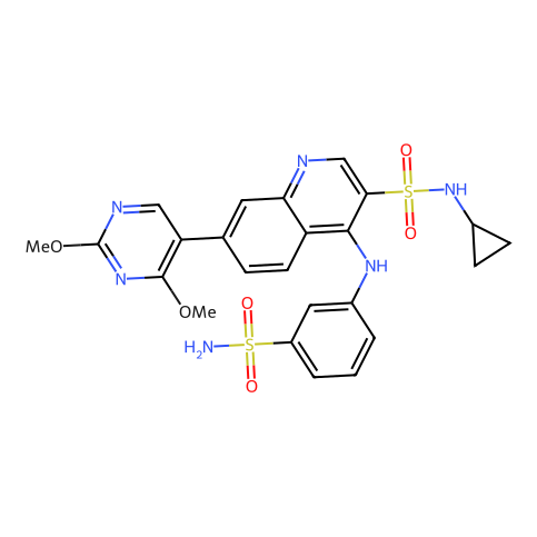 COc1ncc(-c2ccc3c(Nc4cccc(S(N)(=O)=O)c4)c(S(=O)(=O)NC4CC4)cnc3c2)c(OC)n1